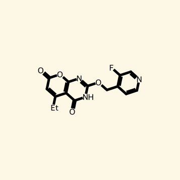 CCc1cc(=O)oc2nc(OCc3ccncc3F)[nH]c(=O)c12